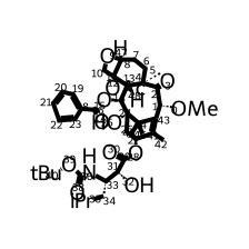 CO[C@H]1C(=O)[C@]2(C)CC[C@H]3OC[C@@]3(OC(C)=O)[C@H]2[C@H](OC(=O)c2ccccc2)[C@]2(O)C[C@H](OC(=O)[C@H](O)[C@H](CC(C)C)NC(=O)OC(C)(C)C)C(C)=C1C2(C)C